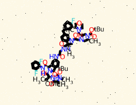 CO[C@H](C)[C@H](NC(=O)[C@H](C)N(C)C(=O)OC(C)(C)C)C(=O)N1Cc2ccc(NC(=O)CNC(=O)[C@]3(C)CN(C(O)CN4C[C@@H](C)N(C(=O)OC(C)(C)C)C[C@@H]4CN4CCOC[C@H]4C)c4cc(Cc5ccc(F)cc5)ccc43)cc2[C@H]1C(=O)Nc1c(F)cccc1F